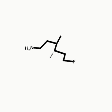 CC(CCN)[C@@H](C)CCF